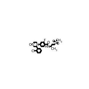 C[C@H](/C=C/S(C)(=O)=O)NC(=O)c1ccc(N2CC[S+]([O-])CC2c2ccccc2Cl)cc1F